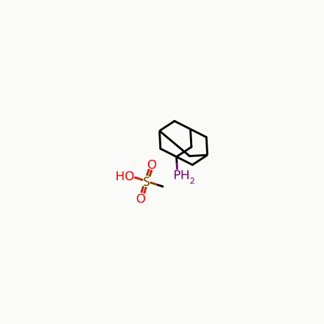 CS(=O)(=O)O.PC12CC3CC(CC(C3)C1)C2